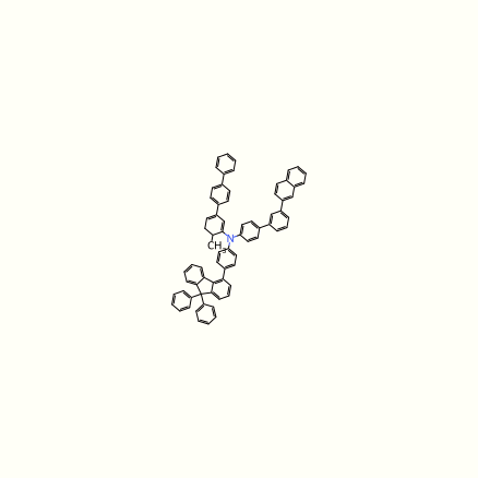 CC1CC=C(c2ccc(-c3ccccc3)cc2)C=C1N(c1ccc(-c2cccc(-c3ccc4ccccc4c3)c2)cc1)c1ccc(-c2cccc3c2-c2ccccc2C3(c2ccccc2)c2ccccc2)cc1